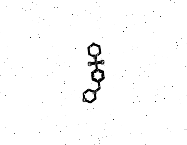 O=S(=O)(c1ccc(CN2CCOCC2)cc1)N1CC[CH]CC1